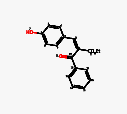 CCOC(=O)C(=Cc1ccc(O)cc1)C(=O)c1ccccc1